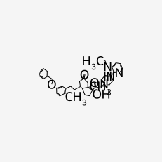 CCNc1cccnc1N1CCN(CC(=O)[C@@]2(O)CCC3C(CCc4cc(OCc5ccccc5)ccc4C)CC(=O)CC32C)CC1